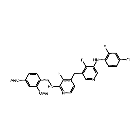 COc1ccc(CNc2nccc(Cc3cncc(Nc4ccc(Cl)cc4F)c3F)c2F)c(OC)c1